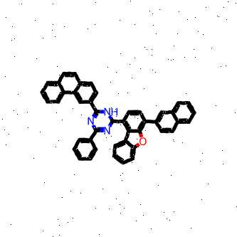 c1ccc(C2=NC(c3ccc(-c4ccc5ccccc5c4)c4oc5ccccc5c34)NC(c3ccc4ccc5ccccc5c4c3)=N2)cc1